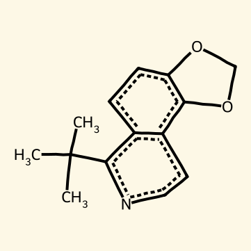 CC(C)(C)c1nccc2c3c(ccc12)OCO3